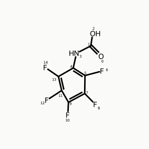 O=C(O)Nc1c(F)c(F)c(F)c(F)c1F